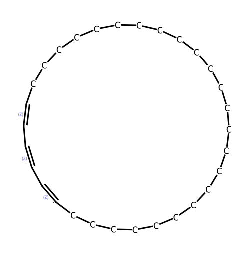 [C]1=C/C=C\C=C/CCCCCCCCCCCCCCCCCCCCCCCC\1